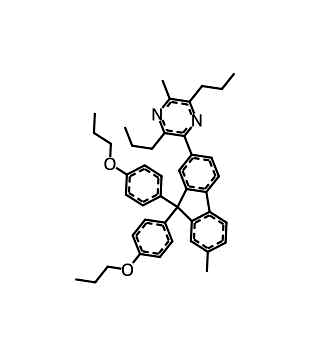 CCCOc1ccc(C2(c3ccc(OCCC)cc3)c3cc(C)ccc3-c3ccc(-c4nc(CCC)c(C)nc4CCC)cc32)cc1